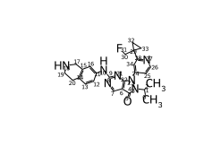 CC(C)n1c(=O)c2cnc(Nc3ccc4c(c3)CNCC4)nc2n1-c1ccnc(C2(CF)CC2)c1